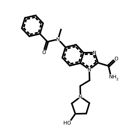 CN(C(=O)c1ccccc1)c1ccc2c(c1)nc(C(N)=O)n2CCN1CCC(O)C1